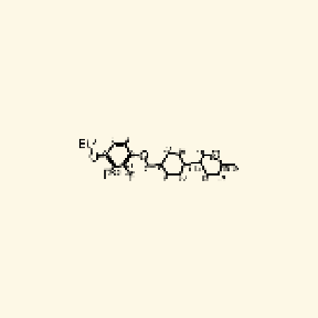 CCOc1ccc(OCC2CCC(C3CCC(C)OC3)CC2)c(F)c1F